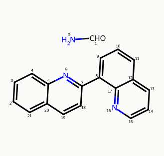 NC=O.c1ccc2nc(-c3cccc4cccnc34)ccc2c1